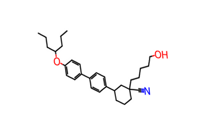 CCCC(CCC)Oc1ccc(-c2ccc(C3CCCC(C#N)(CCCCCO)C3)cc2)cc1